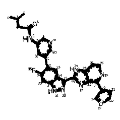 CC(C)CC(=O)Nc1cncc(-c2cc3c(-c4nc5c(-c6ccoc6)nccc5[nH]4)n[nH]c3cc2F)c1